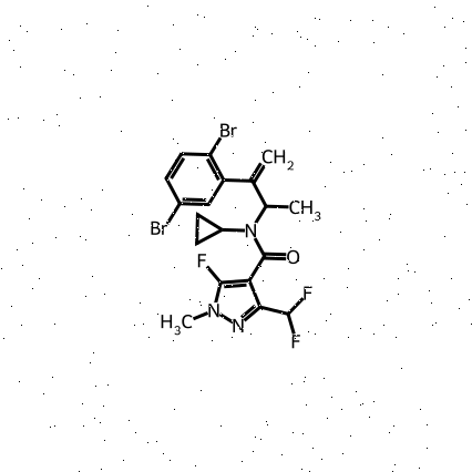 C=C(c1cc(Br)ccc1Br)C(C)N(C(=O)c1c(C(F)F)nn(C)c1F)C1CC1